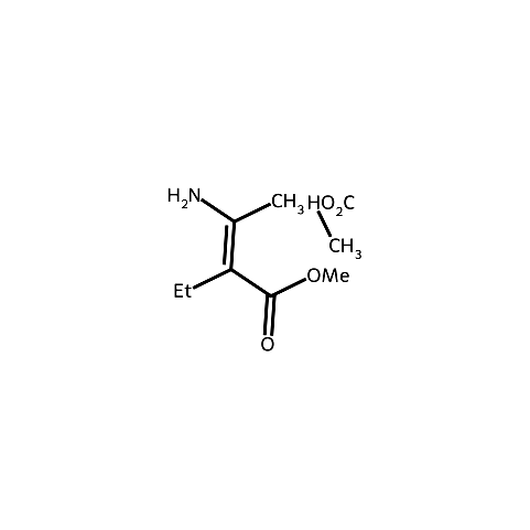 CC(=O)O.CCC(C(=O)OC)=C(C)N